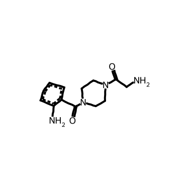 NCC(=O)N1CCN(C(=O)c2ccccc2N)CC1